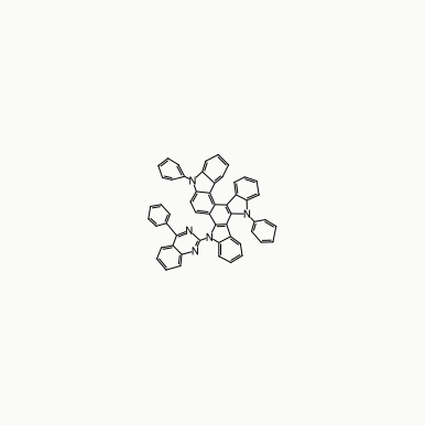 c1ccc(-c2nc(-n3c4ccccc4c4c3c3ccc5c(c6ccccc6n5-c5ccccc5)c3c3c5ccccc5n(-c5ccccc5)c34)nc3ccccc23)cc1